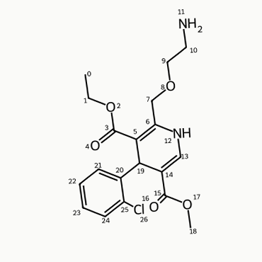 CCOC(=O)C1=C(COCCN)NC=C(C(=O)OC)C1c1ccccc1Cl